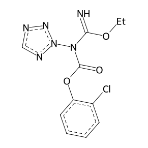 CCOC(=N)N(C(=O)Oc1ccccc1Cl)n1ncnn1